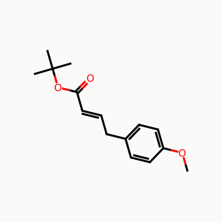 COc1ccc(C/C=C/C(=O)OC(C)(C)C)cc1